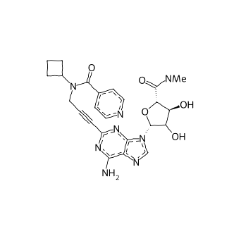 CNC(=O)[C@H]1O[C@@H](n2cnc3c(N)nc(C#CCN(C(=O)c4ccncc4)C4CCC4)nc32)C(O)[C@@H]1O